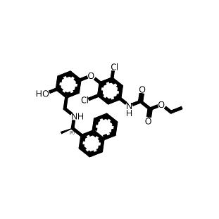 CCOC(=O)C(=O)Nc1cc(Cl)c(Oc2ccc(O)c(CN[C@H](C)c3cccc4ccccc34)c2)c(Cl)c1